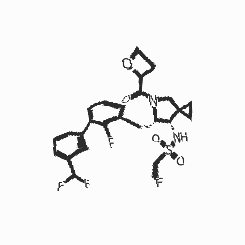 O=C(C1CCO1)N1CC2(CC2)[C@H](NS(=O)(=O)CF)[C@@H]1Cc1cccc(-c2cccc(C(F)F)c2)c1F